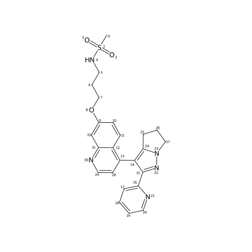 CS(=O)(=O)NCCCOc1ccc2c(-c3c(-c4ccccn4)nn4c3CCC4)ccnc2c1